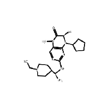 CC[C@@H]1C(=O)N(C)c2cnc(N[C@@H](C)C3CCN(CC#N)CC3)nc2N1C1CCCC1